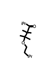 CC(C)CCOC(C)(C)C(C)(C)C(=O)C(C)C